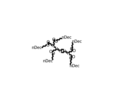 CCCCCCCCCCCCCCOC(=O)CCN(CCC(=O)OCCCCCCCCCCCCCC)CCN(CCC(=O)OCCCCCCCCCCCCCC)CCN1CCN(CCN(CCC(=O)OCCCCCCCCCCCCCC)CCC(=O)OCCCCCCCCCCCCCC)CC1